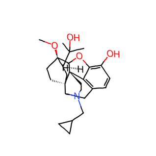 CO[C@]12CC[C@@]3(C[C@@H]1C(C)(C)O)C1Cc4ccc(O)c5c4[C@@]3(CCN1CC1CC1)[C@H]2O5